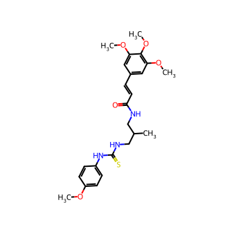 COc1ccc(NC(=S)NCC(C)CNC(=O)C=Cc2cc(OC)c(OC)c(OC)c2)cc1